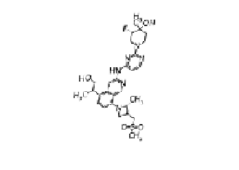 CC(CO)c1ccc(N2C[C@H](CS(C)(=O)=O)[C@H]2C)c2cnc(Nc3ccnc(N4CC[C@@](C)(O)[C@@H](F)C4)n3)cc12